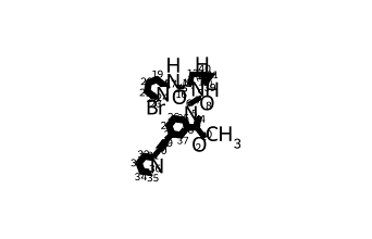 CC(=O)c1cn(CC(=O)N2[C@@H]3C[C@@H]3C[C@H]2C(=O)Nc2cccc(Br)n2)c2ccc(C#Cc3ccccn3)cc12